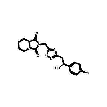 O=C1C2CCCCN2C(=O)N1Cc1nc(C[C@H](O)c2ccc(Cl)cc2)no1